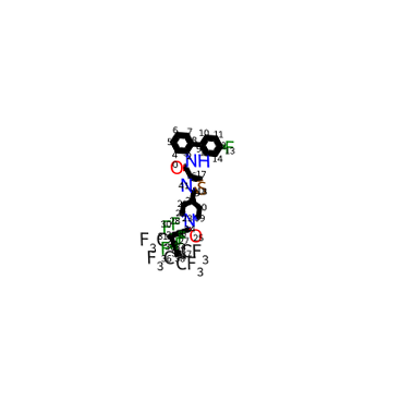 O=C(Nc1ccccc1-c1ccc(F)cc1)c1csc(C2CCN(C(=O)C(F)(F)C(F)(C(F)(F)F)C(F)(F)C(C(F)(F)F)(C(F)(F)F)C(F)(F)F)CC2)n1